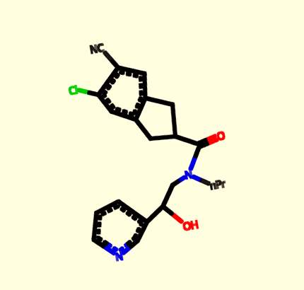 CCCN(CC(O)c1cccnc1)C(=O)C1Cc2cc(Cl)c(C#N)cc2C1